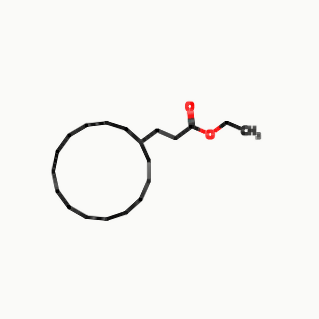 CCOC(=O)CCC1CCCCCCCCCCCCCC1